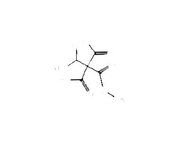 COC(=O)C(C(=O)O)(C(=O)O)C(C)[TeH]